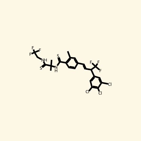 Cc1cc(C=CC(c2cc(Cl)c(Cl)c(Cl)c2)C(F)(F)F)ccc1C(=S)NC(C)(C)C(=S)NCC(F)(F)F